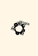 COc1ncc2cc1NS(=O)(=O)c1cccc(c1)C(=O)NCc1cccc(c1)-c1cnn3ccc-2nc13